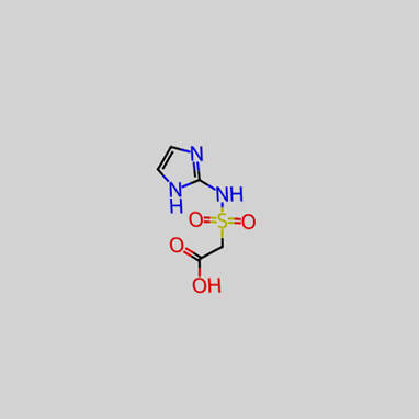 O=C(O)CS(=O)(=O)Nc1ncc[nH]1